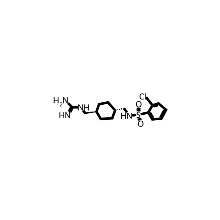 N=C(N)NC[C@H]1CC[C@H](CNS(=O)(=O)c2ccccc2Cl)CC1